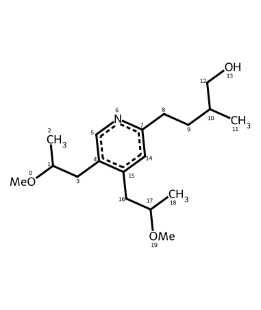 COC(C)Cc1cnc(CCC(C)CO)cc1CC(C)OC